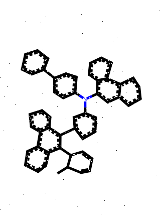 CC1C=CC=CC1c1c(-c2cccc(N(c3ccc(-c4ccccc4)cc3)c3cc4ccccc4c4ccccc34)c2)c2ccccc2c2ccccc12